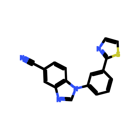 N#Cc1ccc2c(c1)ncn2-c1cccc(-c2nccs2)c1